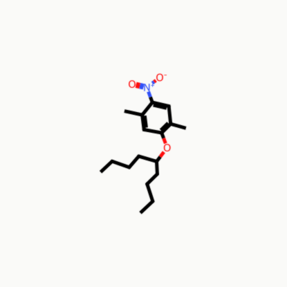 CCCCC(CCCC)Oc1cc(C)c([N+](=O)[O-])cc1C